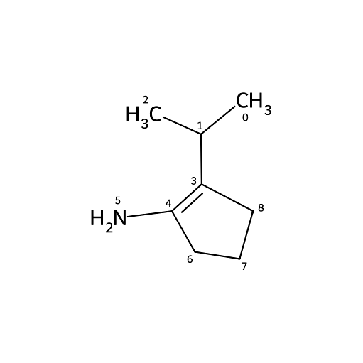 CC(C)C1=C(N)CCC1